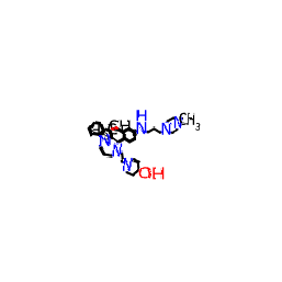 C/C=c1/cc(NCCCN2CCN(C)CC2)cc/c1=C1/c2c(C)c3ccccc3n2CCCN1CCN1CCC(O)CC1